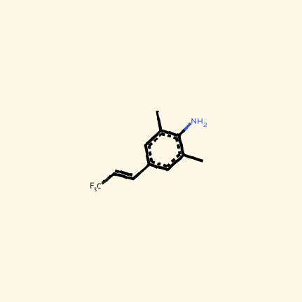 Cc1cc(C=CC(F)(F)F)cc(C)c1N